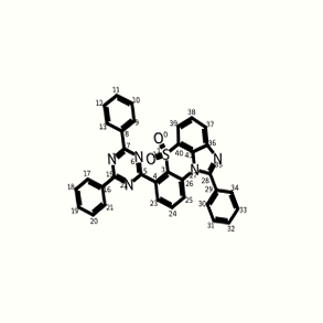 O=S1(=O)c2c(-c3nc(-c4ccccc4)nc(-c4ccccc4)n3)cccc2-n2c(-c3ccccc3)nc3cccc1c32